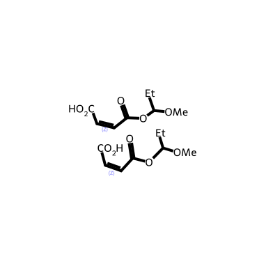 CCC(OC)OC(=O)/C=C\C(=O)O.CCC(OC)OC(=O)/C=C\C(=O)O